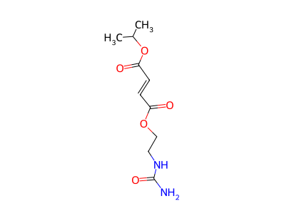 CC(C)OC(=O)/C=C/C(=O)OCCNC(N)=O